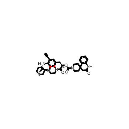 C#Cc1cc(C[C@@H](OC(=O)N2CCC3(CC2)CC(=O)Nc2ccccc23)C(=O)N2CCN(C3CN4CCC3CC4)CC2)cc(Cl)c1N